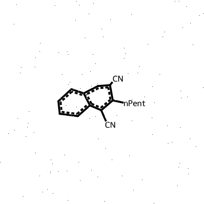 CCCCCc1c(C#N)cc2ccccc2c1C#N